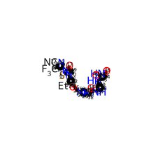 CCc1cc(N2C(=S)N(c3cnc(C#N)c(C(F)(F)F)c3)C(=O)C2(C)C)ccc1OCCN1CCN([C@@H](C)C(=O)Nc2cccc(NC3CCC(=O)NC3=O)c2)CC1